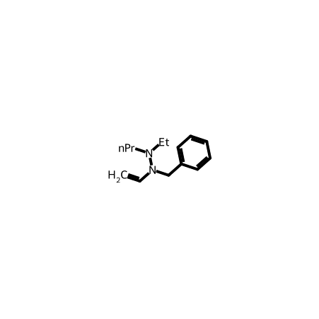 [CH2]CCN(CC)N(C=C)Cc1ccccc1